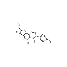 CCCC1Cc2c(c(F)c(F)c3c(F)c(-c4ccc(CC)cc4)ccc23)C1(F)F